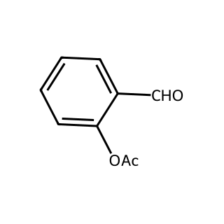 CC(=O)Oc1ccccc1C=O